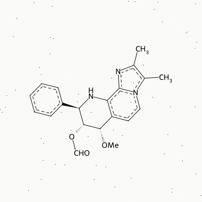 CO[C@H]1c2ccn3c(C)c(C)nc3c2N[C@H](c2ccccc2)[C@H]1OC=O